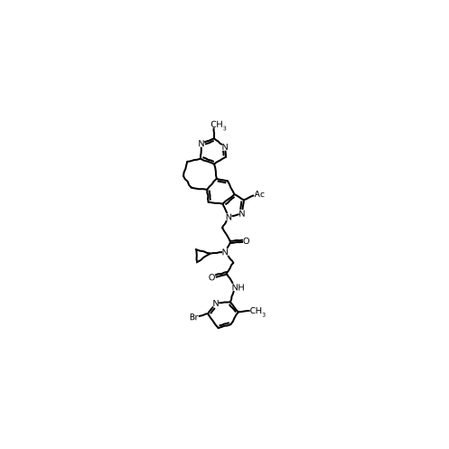 CC(=O)c1nn(CC(=O)N(CC(=O)Nc2nc(Br)ccc2C)C2CC2)c2cc3c(cc12)-c1cnc(C)nc1CCC3